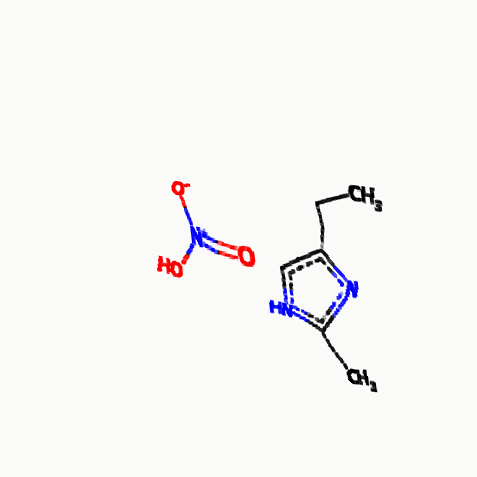 CCc1c[nH]c(C)n1.O=[N+]([O-])O